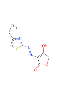 CCc1csc(N=NC2=C(O)COC2=O)n1